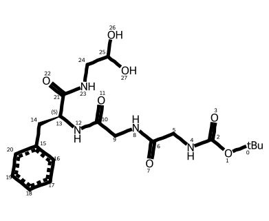 CC(C)(C)OC(=O)NCC(=O)NCC(=O)N[C@@H](Cc1ccccc1)C(=O)NCC(O)O